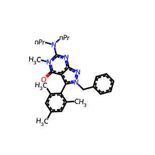 CCCN(CCC)c1nc2nn(Cc3ccccc3)c(-c3c(C)cc(C)cc3C)c2c(=O)n1C